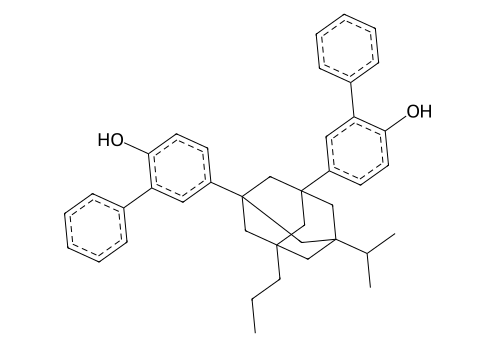 CCCC12CC3(c4ccc(O)c(-c5ccccc5)c4)CC(c4ccc(O)c(-c5ccccc5)c4)(C1)CC(C(C)C)(C2)C3